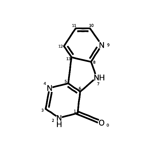 O=c1[nH]cnc2c1[nH]c1ncccc12